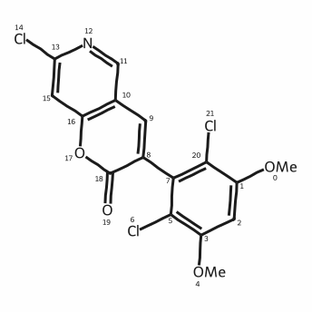 COc1cc(OC)c(Cl)c(-c2cc3cnc(Cl)cc3oc2=O)c1Cl